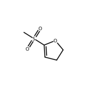 CS(=O)(=O)C1=CCCO1